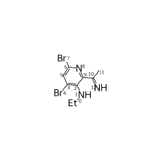 CCNc1c(Br)cc(Br)nc1C(C)=N